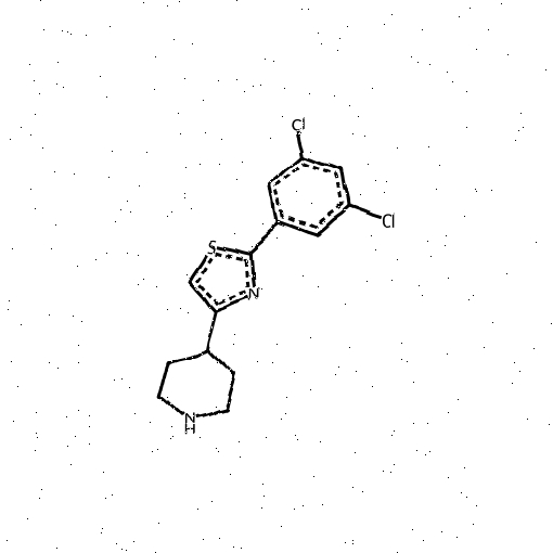 Clc1cc(Cl)cc(-c2nc(C3CCNCC3)cs2)c1